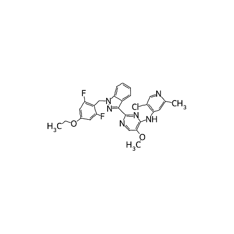 CCOc1cc(F)c(Cn2nc(-c3ncc(OC)c(Nc4cc(C)ncc4Cl)n3)c3ccccc32)c(F)c1